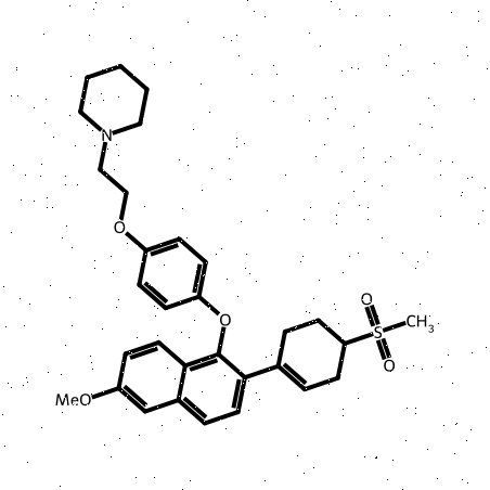 COc1ccc2c(Oc3ccc(OCCN4CCCCC4)cc3)c(C3=CCC(S(C)(=O)=O)CC3)ccc2c1